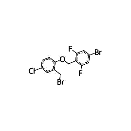 Fc1cc(Br)cc(F)c1COc1ccc(Cl)cc1CBr